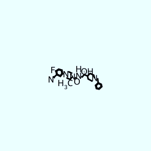 C[C@@H]1CN(c2ccc(F)c(C#N)c2)CCN1C(=O)NC[C@H](O)C1CCN(Cc2ccccc2)CC1